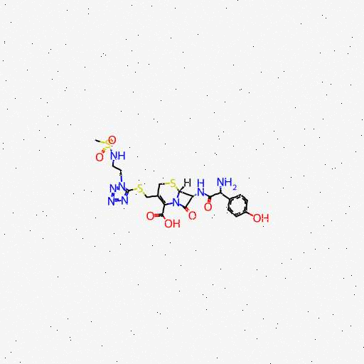 CS(=O)(=O)NCCn1nnnc1SCC1=C(C(=O)O)N2C(=O)[C@@H](NC(=O)C(N)c3ccc(O)cc3)[C@H]2SC1